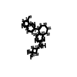 Cc1cnc2ccc(C3=CCCCc4nc(NC5CC(F)(F)C5)ncc43)nn12